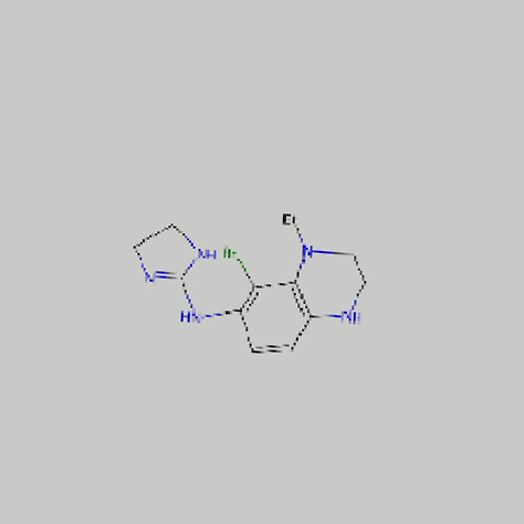 CCN1CCNc2ccc(NC3=NCCN3)c(Br)c21